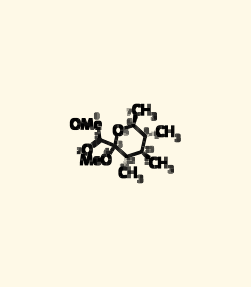 COC(=O)C1(OC)O[C@@H](C)[C@H](C)[C@@H](C)[C@@H]1C